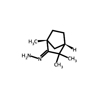 CC1(C)/C(=N/N)[C@]2(C)CC[C@H]1C2